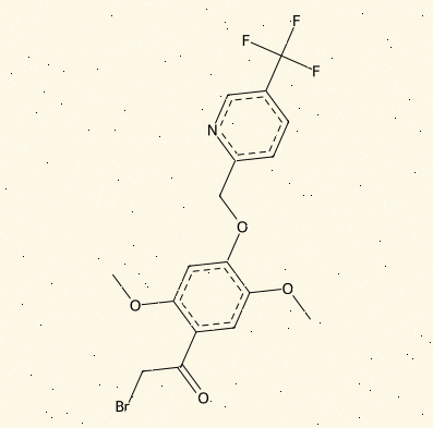 COc1cc(C(=O)CBr)c(OC)cc1OCc1ccc(C(F)(F)F)cn1